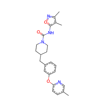 Cc1ccc(Oc2cccc(CC3CCN(C(=O)Nc4onc(C)c4C)CC3)c2)nc1